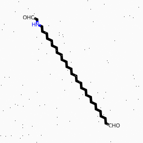 O=CCCCCCCCCCCCCCCCCCCCCCCCCCCCCNCC=O